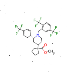 COC(=O)C1(C2CCN(Cc3cc(C(F)(F)F)ccc3C(F)(F)F)[C@@H](C3C=CC(C(F)(F)F)=CC3)C2)CCCC1